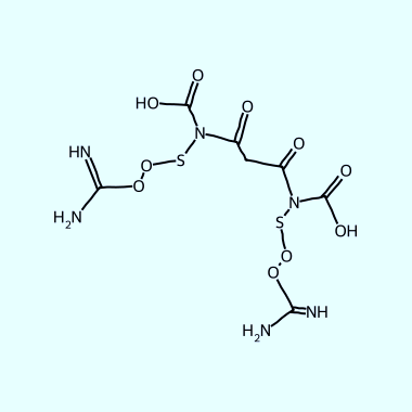 N=C(N)OOSN(C(=O)O)C(=O)CC(=O)N(SOOC(=N)N)C(=O)O